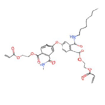 C=CC(=O)OCCOC(=O)c1ccc(Oc2ccc(C(=O)OCCOC(=O)C=C)c(C(=O)NCCCCCCC)c2)cc1C(=O)NC